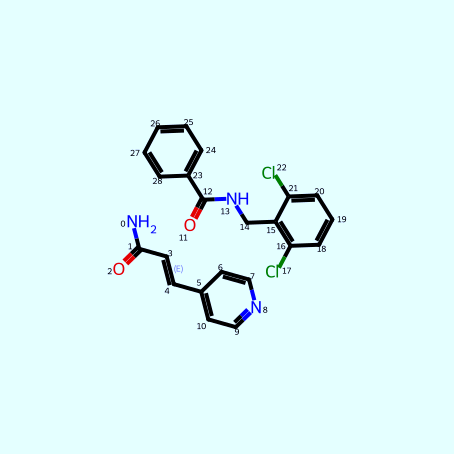 NC(=O)/C=C/c1ccncc1.O=C(NCc1c(Cl)cccc1Cl)c1ccccc1